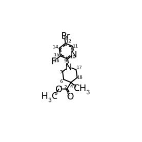 COC(=O)C1(C)CCN(c2ncc(Br)cc2F)CC1